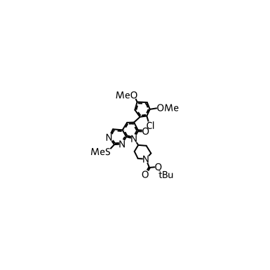 COc1cc(OC)c(Cl)c(-c2cc3cnc(SC)nc3n(C3CCN(C(=O)OC(C)(C)C)CC3)c2=O)c1